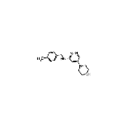 Cc1ccc(CNc2cc(N3CCNCC3)cnn2)cc1